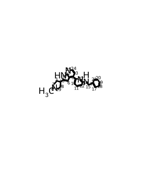 CN1CCC(c2cc3c(-c4cccc(NCc5ccccc5)n4)ccnc3[nH]2)CC1